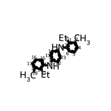 CCc1c(C)cccc1Nc1ccc(Nc2cccc(C)c2CC)cc1